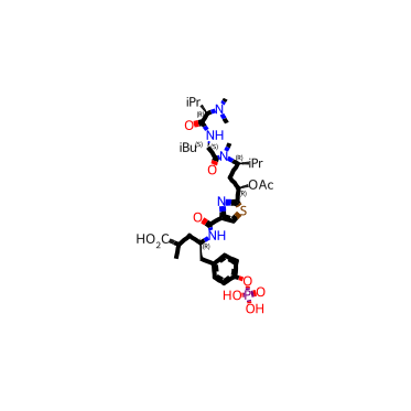 CC[C@H](C)[C@H](NC(=O)[C@@H](C(C)C)N(C)C)C(=O)N(C)[C@H](C[C@@H](OC(C)=O)c1nc(C(=O)N[C@@H](Cc2ccc(OP(=O)(O)O)cc2)CC(C)C(=O)O)cs1)C(C)C